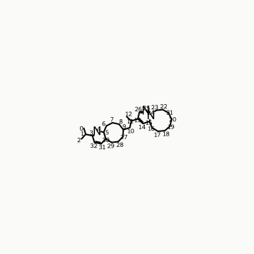 CC(C)C1=NC2CCCC(CC(C)C3=CC4CCCCCCCCN4N=C3)CCCC2C=C1